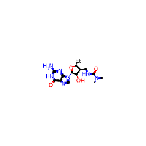 CC[C@H]1O[C@@H](n2cnc3c(=O)[nH]c(N)nc32)[C@H](O)[C@@H]1CNC(=O)N(C)C